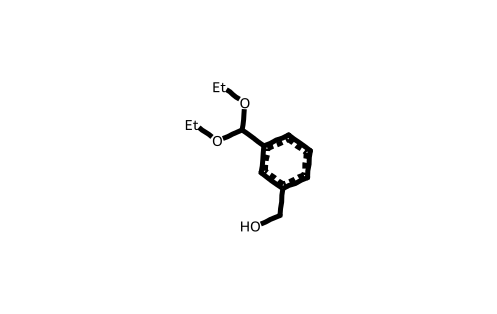 CCOC(OCC)c1cccc(CO)c1